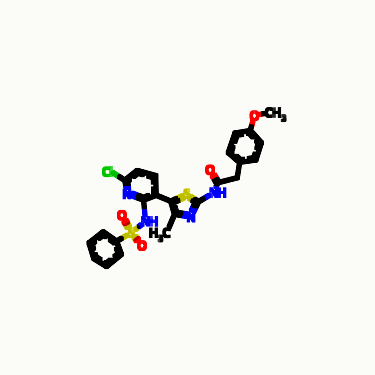 COc1ccc(CC(=O)Nc2nc(C)c(-c3ccc(Cl)nc3NS(=O)(=O)c3ccccc3)s2)cc1